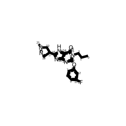 CCCn1c(Oc2cccc(F)c2)nc2nc(C3C=NN(C)C3)[nH]c2c1=O